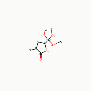 CO[Si](OC)(OC)C1CC(C)C(=O)S1